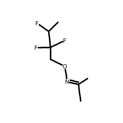 CC(C)=NOCC(F)(F)C(C)F